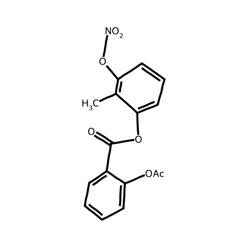 CC(=O)Oc1ccccc1C(=O)Oc1cccc(O[N+](=O)[O-])c1C